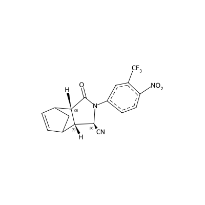 N#C[C@H]1[C@@H]2C3C=CC(C3)[C@@H]2C(=O)N1c1ccc([N+](=O)[O-])c(C(F)(F)F)c1